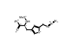 CSN[C@@H](Cc1csc(CN=[N+]=[N-])c1)C(=O)C(C)C